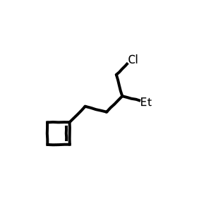 CCC(CCl)CCC1=CCC1